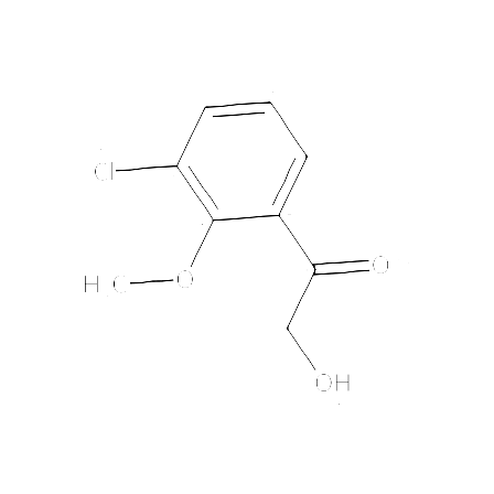 COc1c(Cl)cccc1C(=O)CO